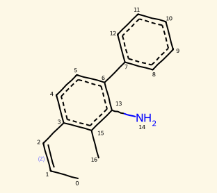 C/C=C\c1ccc(-c2ccccc2)c(N)c1C